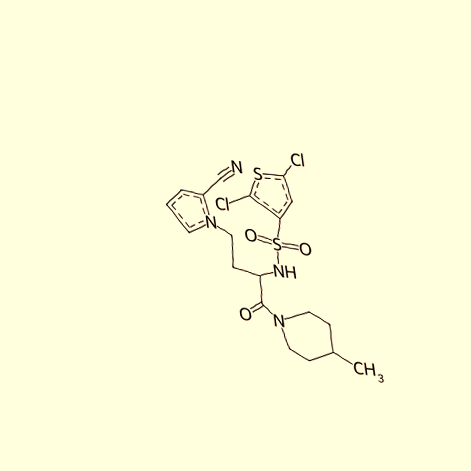 CC1CCN(C(=O)C(CCn2cccc2C#N)NS(=O)(=O)c2cc(Cl)sc2Cl)CC1